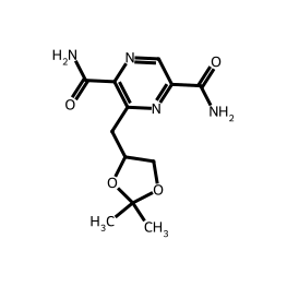 CC1(C)OCC(Cc2nc(C(N)=O)cnc2C(N)=O)O1